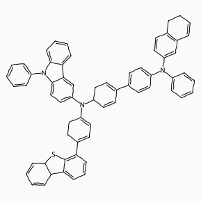 C1=CC2Sc3c(C4=CC=C(N(c5ccc6c(c5)c5ccccc5n6-c5ccccc5)C5C=CC(c6ccc(N(c7ccccc7)c7ccc8c(c7)C=CCC8)cc6)=CC5)CC4)cccc3C2C=C1